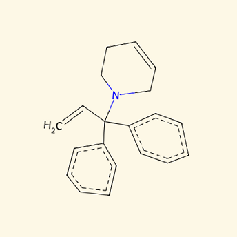 C=CC(c1ccccc1)(c1ccccc1)N1CC=CCC1